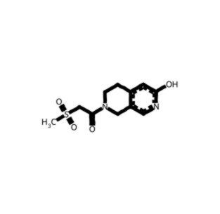 CS(=O)(=O)CC(=O)N1CCc2cc(O)ncc2C1